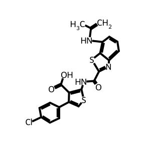 C=C(C)Nc1cccc2nc(C(=O)Nc3scc(-c4ccc(Cl)cc4)c3C(=O)O)sc12